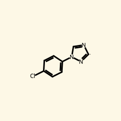 Clc1ccc(-n2cn[c]n2)cc1